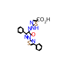 O=C(O)c1cnc(N/N=C2\C(=O)N(c3nc(-c4ccccc4)cs3)N=C2c2ccccc2)s1